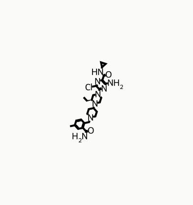 CC[C@H]1CN(c2nc(N)c(C(=O)NC3CC3)nc2Cl)CCN1C1CCN(Cc2ccc(C)cc2C(N)=O)CC1